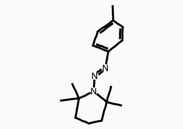 Cc1ccc(N=NN2C(C)(C)CCCC2(C)C)cc1